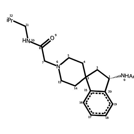 CC(=O)N[C@H]1CC2(CCN(CC(=O)NCC(C)C)CC2)c2ccccc21